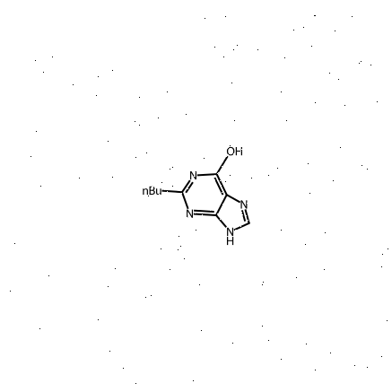 CCCCc1nc(O)c2nc[nH]c2n1